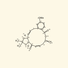 COc1ccc2c(c1)C/C=C\[C@@H]1OC(C)(C)O[C@@H]1C(=O)/C=C\C[C@H](C)OC2=O